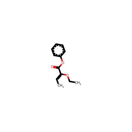 CC=C(OCC)C(=O)Oc1ccccc1